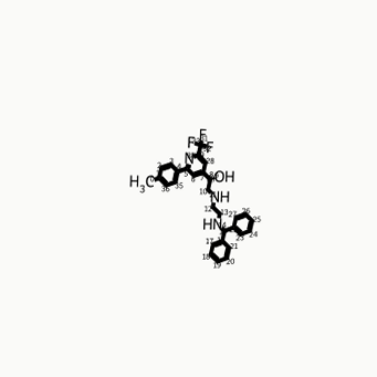 Cc1ccc(-c2cc([C@@H](O)CNCCNC(c3ccccc3)c3ccccc3)cc(C(F)(F)F)n2)cc1